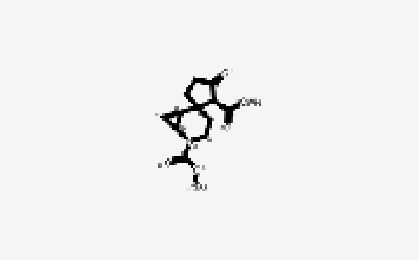 COC(=O)C1C(=O)CCC12CCN(C(=O)OC(C)(C)C)C1CC12